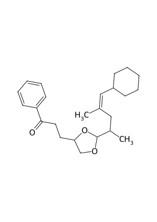 C/C(=C/C1CCCCC1)CC(C)C1OCC(CCC(=O)c2ccccc2)O1